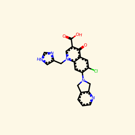 O=C(O)c1cn(Cc2c[nH]cn2)c2cc(N3Cc4cccnc4C3)c(Cl)cc2c1=O